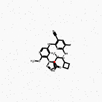 COc1ncc(Nc2nc(N[C@H](C3CCC3)[C@H](C)NC(=O)O)c(F)cc2C#N)cc1-n1ccnn1